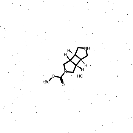 CC(C)(C)OC(=O)N1C[C@@H]2[C@H]3CNC[C@H]3[C@@H]2C1.Cl